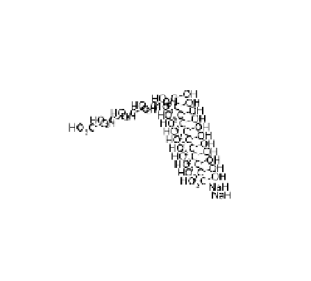 O=C(O)O.O=C(O)O.O=C(O)O.O=C(O)O.O=C(O)O.O=C(O)O.O=C(O)O.O=C(O)O.O=C(O)O.O=C(O)O.O=C(O)O.O=C(O)O.O=C(O)O.O=C(O)O.O=C(O)O.[NaH].[NaH]